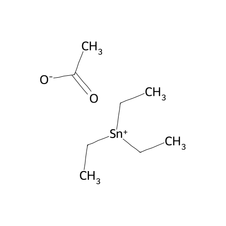 CC(=O)[O-].C[CH2][Sn+]([CH2]C)[CH2]C